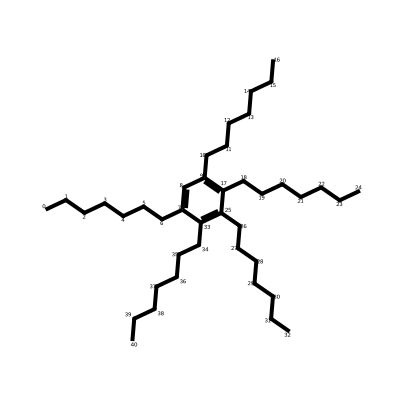 CCCCCCCc1[c]c(CCCCCCC)c(CCCCCCC)c(CCCCCCC)c1CCCCCCC